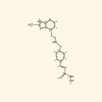 Cc1cc2c(CCNCc3ccc(/C=C/C(=O)NO)cc3)cccc2[nH]1